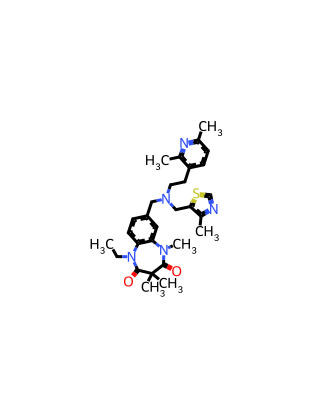 CCN1C(=O)C(C)(C)C(=O)N(C)c2cc(CN(CCc3ccc(C)nc3C)Cc3scnc3C)ccc21